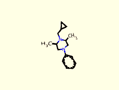 CC1CN(c2ccccc2)CC(C)N1CC1CC1